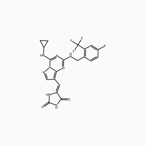 O=C1NC(=O)/C(=C/c2cnn3c(NC4CC4)nc(NCc4ccc(F)cc4C(F)(F)F)nc23)N1